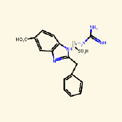 CS(=O)(=O)O.N=C(N)N.O=C(O)c1ccc2[nH]c(Cc3ccccc3)nc2c1